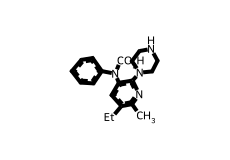 CCc1cc(N(C(=O)O)c2ccccc2)c(N2CCNCC2)nc1C